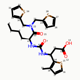 CCCC[C@H](NC(=O)NC(CC(=O)O)c1sccc1C)C(=O)N(Cc1cccs1)Cc1cccs1